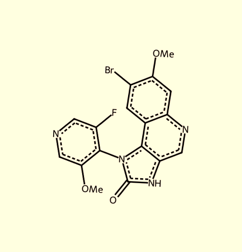 COc1cc2ncc3[nH]c(=O)n(-c4c(F)cncc4OC)c3c2cc1Br